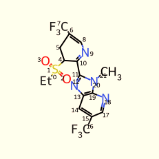 CCS(=O)(=O)C1CC(C(F)(F)F)=CN=C1c1nc2cc(C(F)(F)F)cnc2n1C